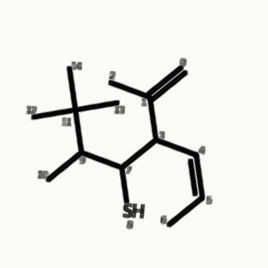 C=C(C)C(/C=C\C)C(S)C(C)C(C)(C)C